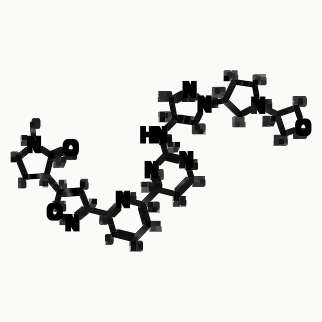 CN1CCC(c2cc(-c3cccc(-c4ccnc(Nc5cnn(C6CCN(C7COC7)C6)c5)n4)n3)no2)C1=O